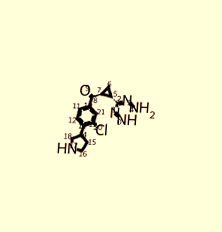 N=N/C(=N\N)[C@H]1C[C@@H]1C(=O)c1ccc(C2CCNC2)c(Cl)c1